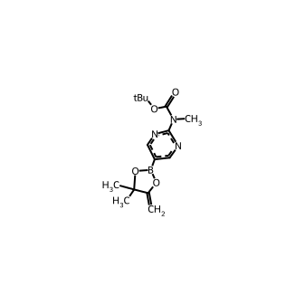 C=C1OB(c2cnc(N(C)C(=O)OC(C)(C)C)nc2)OC1(C)C